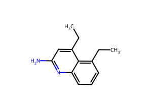 CCc1cccc2nc(N)cc(CC)c12